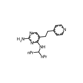 CCCC(CCC)Nc1nc(N)ncc1CCc1ccncc1